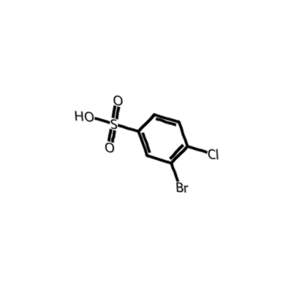 O=S(=O)(O)c1ccc(Cl)c(Br)c1